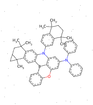 CC1(C)CCC(C)(C)c2cc(N3c4cc5c(cc4B4c6ccccc6Oc6cc(N(c7ccccc7)c7ccccc7)cc3c64)C3(C)CC3CC5(C)C)ccc21